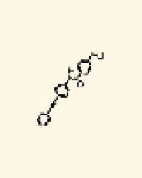 O=C(Nc1ccc(C#Cc2ccccc2)cc1)c1ccc(CCl)cc1